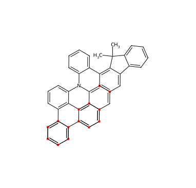 CC1(C)c2ccccc2-c2cccc(-c3ccccc3N(c3cccc(-c4ccccc4)c3-c3ccccc3-c3ccccc3)c3cccc4ccccc34)c21